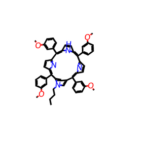 CCCCn1cc2cc1/C(c1cccc(OC)c1)=C1/C=CC(=N1)/C(c1cccc(OC)c1)=c1/cc/c([nH]1)=C(\c1cccc(OC)c1)C1=N/C(=C\2c2cccc(OC)c2)C=C1